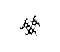 CCc1cc(CC)cc([SiH](c2cc(CC)cc(CC)c2)c2cc(CC)cc(CC)c2)c1